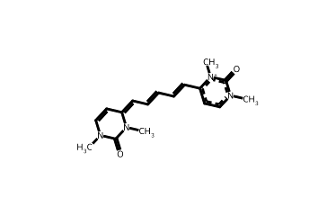 CN1C=CC(=CC=CC=Cc2ccn(C)c(=O)[n+]2C)N(C)C1=O